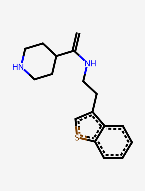 C=C(NCCc1csc2ccccc12)C1CCNCC1